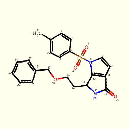 Cc1ccc(S(=O)(=O)n2ccc3c2C(CCOCc2ccccc2)NC3=O)cc1